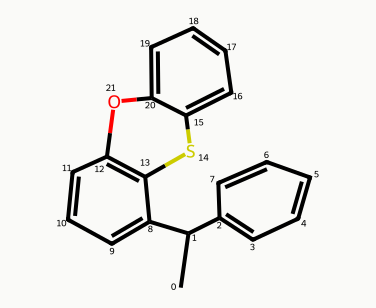 CC(c1ccccc1)c1cccc2c1Sc1ccccc1O2